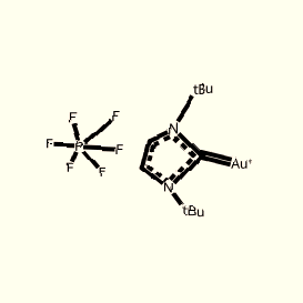 CC(C)(C)n1ccn(C(C)(C)C)[c]1=[Au+].F[P-](F)(F)(F)(F)F